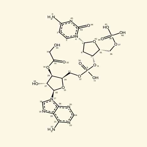 Nc1ccn([C@H]2C[C@@H](OP(=O)(O)OC[C@H]3O[C@@H](n4cnc5c(N)ncnc54)[C@H](O)[C@H]3OC(=O)CO)[C@@H](COP(=O)(O)O)O2)c(=O)n1